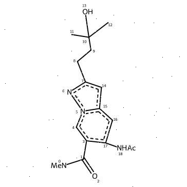 CNC(=O)c1cn2nc(CCC(C)(C)O)cc2cc1NC(C)=O